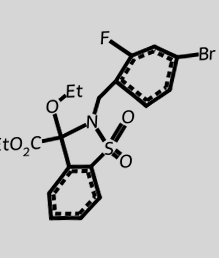 CCOC(=O)C1(OCC)c2ccccc2S(=O)(=O)N1Cc1ccc(Br)cc1F